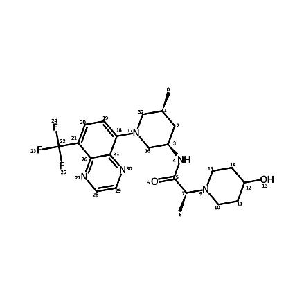 C[C@H]1C[C@@H](NC(=O)[C@H](C)N2CCC(O)CC2)CN(c2ccc(C(F)(F)F)c3nccnc23)C1